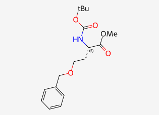 COC(=O)[C@H](CCOCc1ccccc1)NC(=O)OC(C)(C)C